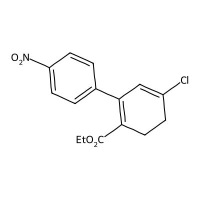 CCOC(=O)C1=C(c2ccc([N+](=O)[O-])cc2)C=C(Cl)CC1